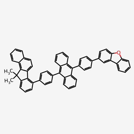 CC1(C)c2cccc(-c3ccc(-c4c5ccccc5c(-c5ccc(-c6ccc7oc8ccccc8c7c6)cc5)c5ccccc45)cc3)c2-c2ccc3ccccc3c21